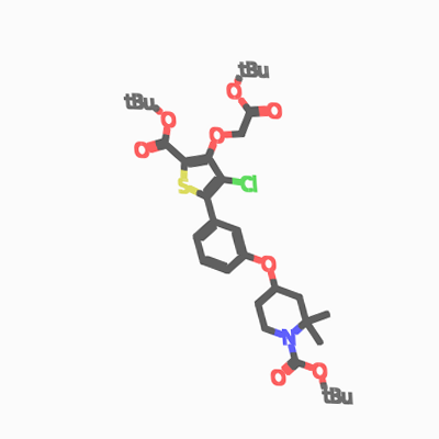 CC(C)(C)OC(=O)COc1c(C(=O)OC(C)(C)C)sc(-c2cccc(OC3CCN(C(=O)OC(C)(C)C)C(C)(C)C3)c2)c1Cl